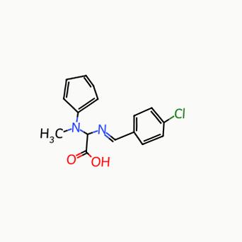 CN(c1ccccc1)C(N=Cc1ccc(Cl)cc1)C(=O)O